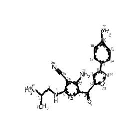 CC(C)CNc1sc(C(=O)c2cc(-c3ccc(N)cc3)no2)c(N)c1C#N